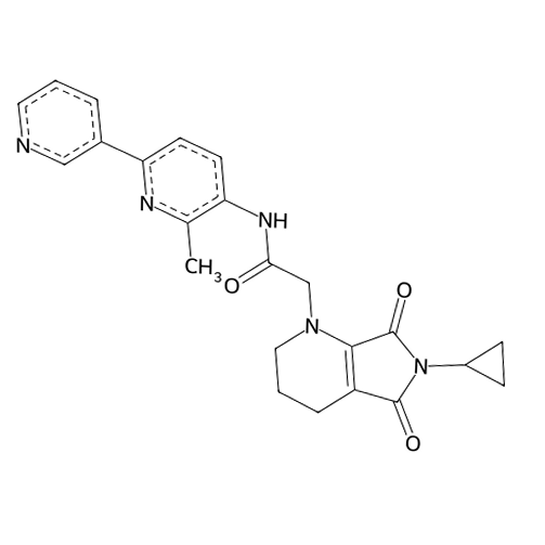 Cc1nc(-c2cccnc2)ccc1NC(=O)CN1CCCC2=C1C(=O)N(C1CC1)C2=O